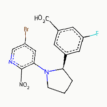 O=C(O)c1cc(F)cc([C@H]2CCCN2c2cc(Br)cnc2[N+](=O)[O-])c1